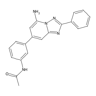 CC(=O)Nc1cccc(-c2cc(N)n3nc(-c4ccccc4)nc3c2)c1